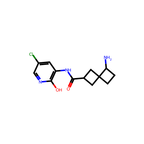 NC1CCC12CC(C(=O)Nc1cc(Cl)cnc1O)C2